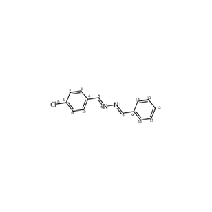 Clc1ccc(C=NN=Cc2ccccc2)cc1